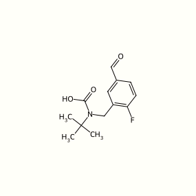 CC(C)(C)N(Cc1cc(C=O)ccc1F)C(=O)O